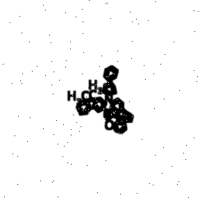 CC1(C)c2ccccc2-c2ccc(N(c3ccc(-c4ccccc4)cc3)c3ccc4c(c3)C3(c5ccccc5Oc5ccccc53)c3ccccc3-4)cc21